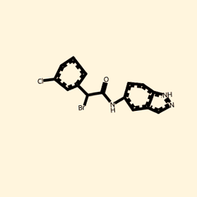 O=C(Nc1ccc2[nH]ncc2c1)C(Br)c1cccc(Cl)c1